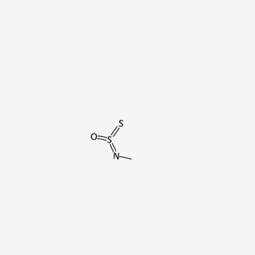 CN=S(=O)=S